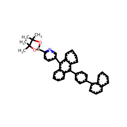 CC1(C)OB(c2ccc(-c3c4ccccc4c(-c4ccc(-c5cccc6ccccc56)cc4)c4ccccc34)cn2)OC1(C)C